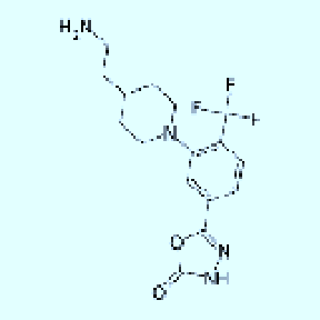 NCCC1CCN(c2cc(-c3n[nH]c(=O)o3)ccc2C(F)(F)F)CC1